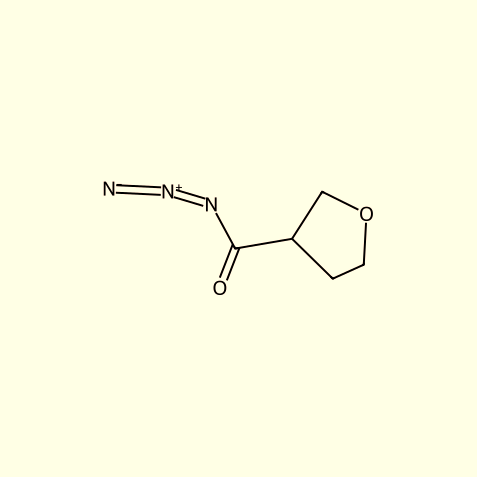 [N-]=[N+]=NC(=O)C1CCOC1